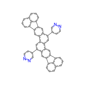 c1cc2c3c(cccc3c1)-c1cc3c(cc1-2)c(-c1ccnnc1)cc1c2cc4c(cc2c(-c2ccnnc2)cc31)-c1cccc2cccc-4c12